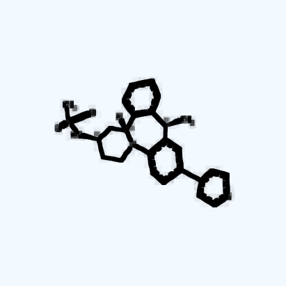 C[C@@H]1c2ccccc2[C@H]2C[C@H](NS(C)(=O)=O)CCN2c2ccc(-c3ccncc3)cc21